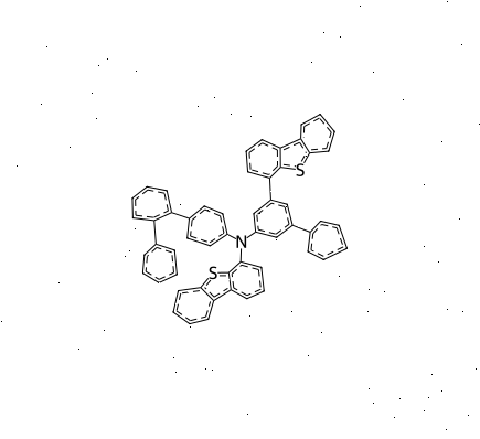 c1ccc(-c2cc(-c3cccc4c3sc3ccccc34)cc(N(c3ccc(-c4ccccc4-c4ccccc4)cc3)c3cccc4c3sc3ccccc34)c2)cc1